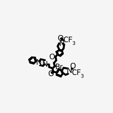 O=C(CCC(Br)C(CCN1CCN(c2ccccc2)CC1)C(=O)c1ccc2c(c1)CCN(C(=O)C(F)(F)F)CC2)c1ccc2c(c1)CCN(C(=O)C(F)(F)F)CC2